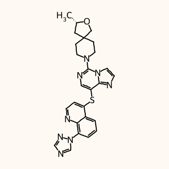 C[C@H]1CC2(CCN(c3ncc(Sc4ccnc5c(-n6cncn6)cccc45)c4nccn34)CC2)CO1